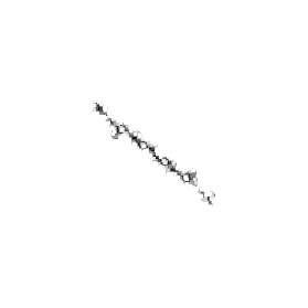 C=CC(=O)OCCCCOc1ccc(/C=C/C(=O)Oc2ccc(/C(C)=N/N=C(\C)c3ccc(OC(=O)/C=C/c4ccc(OCCCCOC(=O)C=C)c(OC)c4)cc3)cc2)cc1OC